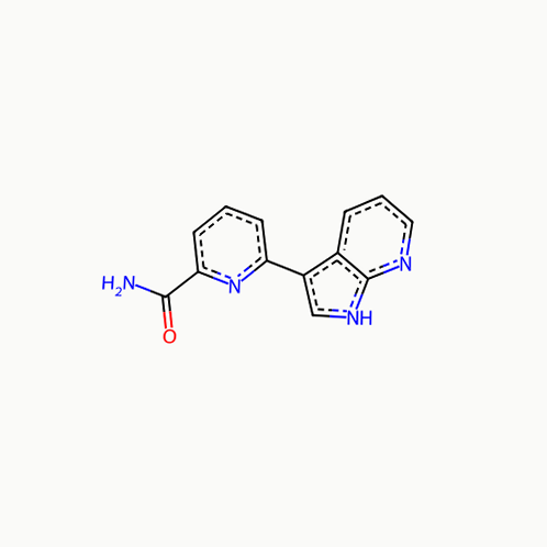 NC(=O)c1cccc(-c2c[nH]c3ncccc23)n1